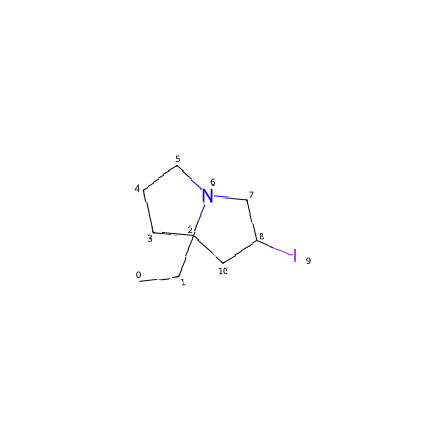 CCC12CCCN1CC(I)C2